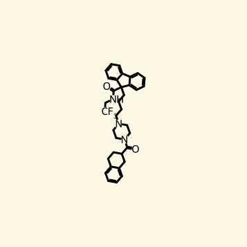 O=C(C1CCc2ccccc2C1)N1CCN(CCCCC2(C(=O)NCC(F)(F)F)c3ccccc3-c3ccccc32)CC1